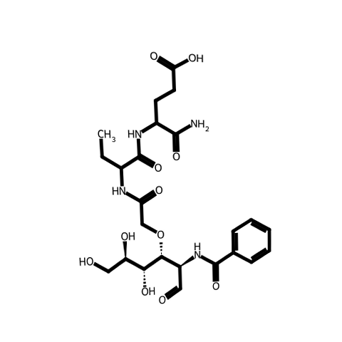 CCC(NC(=O)CO[C@@H]([C@H](O)[C@H](O)CO)[C@H](C=O)NC(=O)c1ccccc1)C(=O)NC(CCC(=O)O)C(N)=O